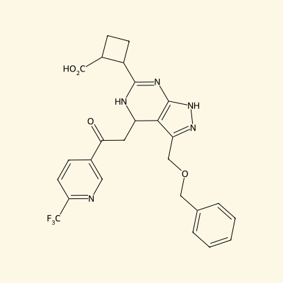 O=C(CC1NC(C2CCC2C(=O)O)=Nc2[nH]nc(COCc3ccccc3)c21)c1ccc(C(F)(F)F)nc1